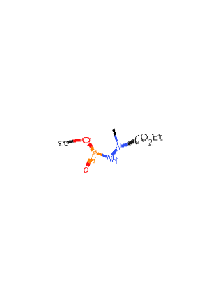 CCOC(=O)N(C)N[PH](=O)OCC